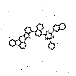 c1ccc(-c2nc(-c3ccc4ccccc4c3)nc(-c3ccc(-c4cccc5c4sc4c6cccc7c6c(cc54)-c4ccccc4-7)c4ccccc34)n2)cc1